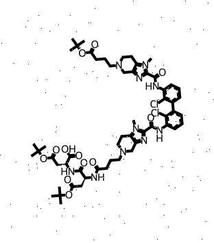 Cn1c(C(=O)Nc2cccc(-c3cccc(NC(=O)c4nc5c(n4C)CCN(CCCC(=O)OC(C)(C)C)C5)c3Cl)c2Cl)nc2c1CCN(CCCC(=O)N[C@@H](CC(=O)OC(C)(C)C)C(=O)N[C@@H](CC(=O)OC(C)(C)C)C(=O)O)C2